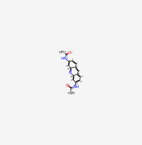 CCCC(=O)Nc1ccc2cc3ccc(NC(=O)CCC)cc3nc2c1